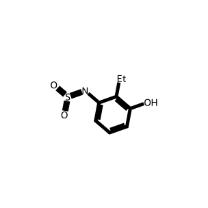 CCc1c(O)cccc1N=S(=O)=O